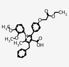 CCOC(=O)COc1ccc(-c2c(C(=O)O)c(Cc3ccccc3)c(C)n2-c2cccc(OC)c2OC)cc1